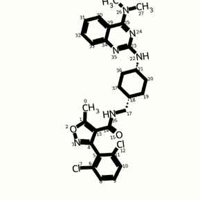 Cc1onc(-c2c(Cl)cccc2Cl)c1C(=O)NC[C@H]1CC[C@@H](Nc2nc(N(C)C)c3ccccc3n2)CC1